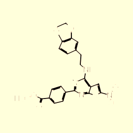 COC(=O)c1ccc(-c2nc(NCCc3ccc4c(c3)OCCO4)c3cc([N+](=O)[O-])sc3n2)cc1